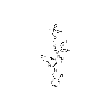 O=P(O)(O)COC[C@H]1O[C@@H](n2ncc3c(NCc4ccccc4Cl)nc(CO)nc32)[C@H](O)[C@@H]1O